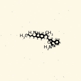 CCCCCc1cc2ccc(C(C)CCc3cc4c(o3)c(N)nc3ccccc34)cc2nc1N